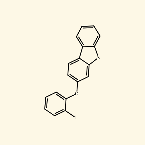 Ic1ccccc1Oc1ccc2c(c1)sc1ccccc12